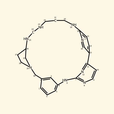 c1cc2cc(c1)Nc1nccc(n1)-c1ccc(nc1)NCCCNCNC1CCN(C2)C1